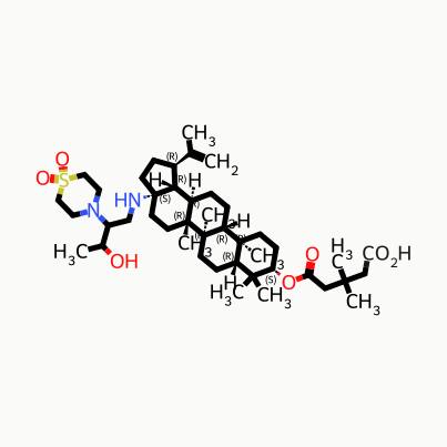 C=C(C)[C@@H]1CC[C@]2(NCC(C(C)O)N3CCS(=O)(=O)CC3)CC[C@]3(C)[C@H](CC[C@@H]4[C@@]5(C)CC[C@H](OC(=O)CC(C)(C)CC(=O)O)C(C)(C)[C@@H]5CC[C@]43C)[C@@H]12